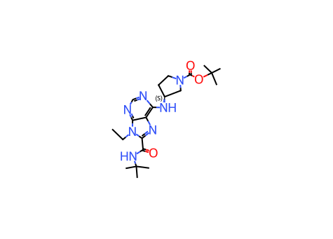 CCn1c(C(=O)NC(C)(C)C)nc2c(N[C@H]3CCN(C(=O)OC(C)(C)C)C3)ncnc21